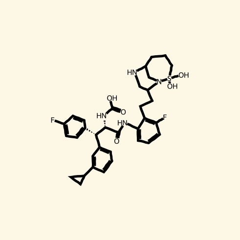 O=C(O)N[C@H](C(=O)Nc1cccc(F)c1CCC1CNC2CCCS(O)(O)N1C2)[C@@H](c1ccc(F)cc1)c1cccc(C2CC2)c1